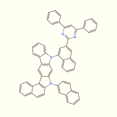 c1ccc(-c2cc(-c3ccccc3)nc(-c3cc(-n4c5ccccc5c5cc6c7c8ccccc8ccc7n(-c7ccc8ccccc8c7)c6cc54)c4ccccc4c3)n2)cc1